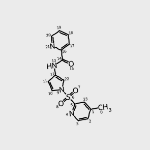 Cc1ccnc(S(=O)(=O)n2ccc(NC(=O)c3ccccn3)c2)c1